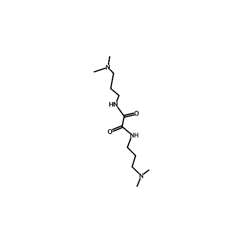 CN(C)CCCNC(=O)C(=O)NCCCN(C)C